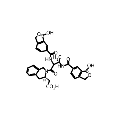 CC(NC(=O)c1ccc2c(c1)B(O)OC2)C(NC(=O)c1ccc2c(c1)B(O)OC2)C(=O)N1Cc2ccccc2C[C@@H]1CC(=O)O